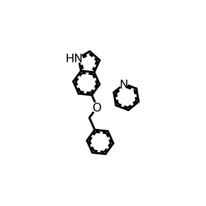 c1ccc(COc2ccc3[nH]ccc3c2)cc1.c1ccncc1